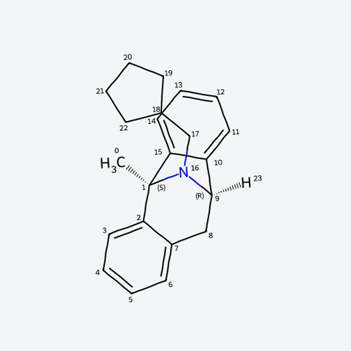 C[C@]12c3ccccc3C[C@H](c3ccccc31)N2CC1CCCC1